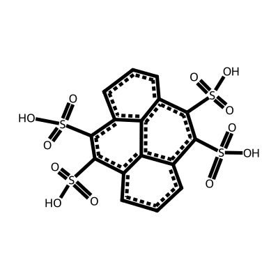 O=S(=O)(O)c1c(S(=O)(=O)O)c2cccc3c(S(=O)(=O)O)c(S(=O)(=O)O)c4cccc1c4c23